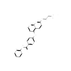 CN(C)CCNc1ccc2c(Nc3ccc(C(=O)Nc4ccccc4)cc3)ccnc2n1